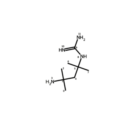 CC(C)(N)CC(C)(C)NC(=N)N